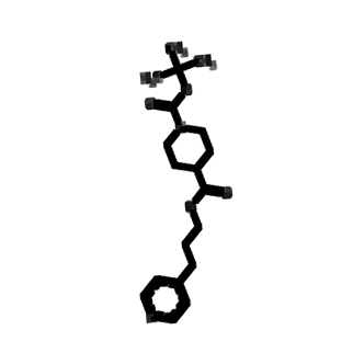 CC(C)(C)OC(=O)N1CCC(C(=O)OCCCc2ccncc2)CC1